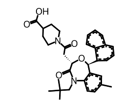 Cc1ccc2c(c1)[C@H](c1cccc3ccccc13)O[C@@H](CC(=O)N1CCC(C(=O)O)CC1)C(=O)N2CC(C)(C)C